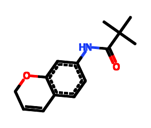 CC(C)(C)C(=O)Nc1ccc2c(c1)OCC=C2